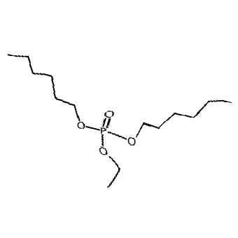 CCCCCCOP(=O)(OCC)OCCCCCC